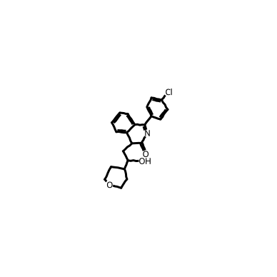 O=C1N=C(c2ccc(Cl)cc2)c2ccccc2C1CC(O)C1CCOCC1